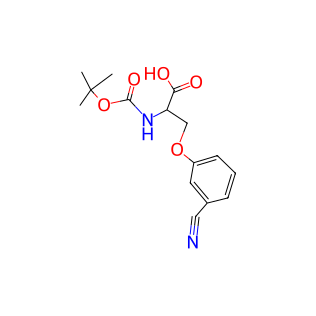 CC(C)(C)OC(=O)NC(COc1cccc(C#N)c1)C(=O)O